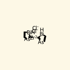 C1=[CH][BiH][C]([Zr+2][C]2=[As]C=[CH][BiH]2)=[As]1.[Cl-].[Cl-]